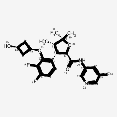 C[C@H]1[C@@H](c2ccc(F)c(F)c2O[C@H]2C[C@@H](O)C2)[C@H](C(=O)Nc2cncc(F)c2)O[C@@]1(C)C(F)(F)F